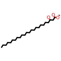 CCCCCCCCCCCCCCCCCCCCCC(=O)CC(=O)OC